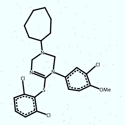 COc1ccc(N2CN(C3CCCCCC3)CN=C2Sc2c(Cl)cccc2Cl)cc1Cl